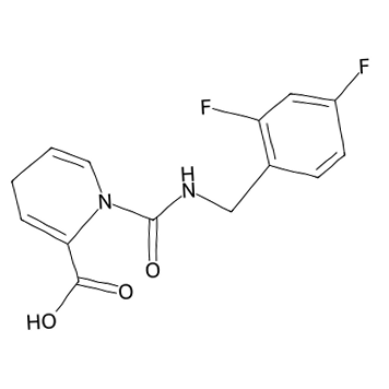 O=C(O)C1=CCC=CN1C(=O)NCc1ccc(F)cc1F